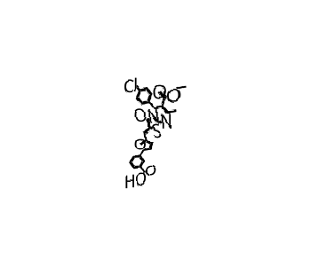 CCOC(=O)C1=C(C)N=c2s/c(=C\c3ccc(-c4cccc(C(=O)O)c4)o3)c(=O)n2C1c1ccc(Cl)cc1